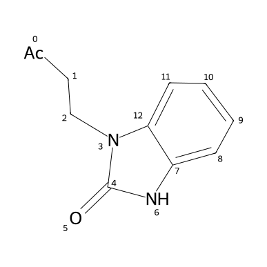 CC(=O)CCn1c(=O)[nH]c2ccccc21